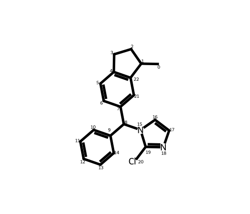 CC1CCc2ccc(C(c3ccccc3)n3ccnc3Cl)cc21